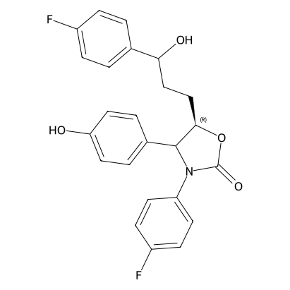 O=C1O[C@H](CCC(O)c2ccc(F)cc2)C(c2ccc(O)cc2)N1c1ccc(F)cc1